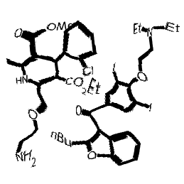 CCCCc1oc2ccccc2c1C(=O)c1cc(I)c(OCCN(CC)CC)c(I)c1.CCOC(=O)C1=C(COCCN)NC(C)=C(C(=O)OC)C1c1ccccc1Cl